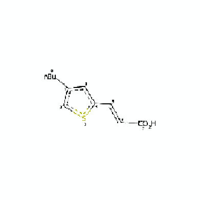 CCCCc1csc(C=CC(=O)O)c1